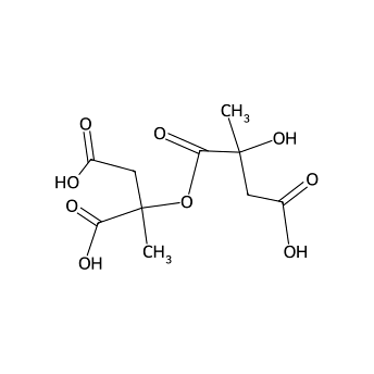 CC(O)(CC(=O)O)C(=O)OC(C)(CC(=O)O)C(=O)O